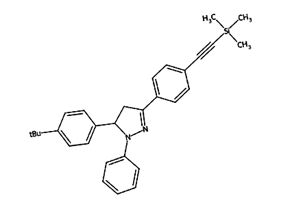 CC(C)(C)c1ccc(C2CC(c3ccc(C#C[Si](C)(C)C)cc3)=NN2c2ccccc2)cc1